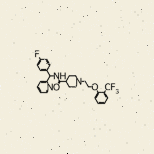 O=C(NC(c1ccc(F)cc1)c1ccccn1)C1CCN(CCOc2ccccc2C(F)(F)F)CC1